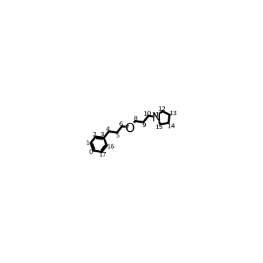 c1ccc(CCCOCCCN2CCCC2)cc1